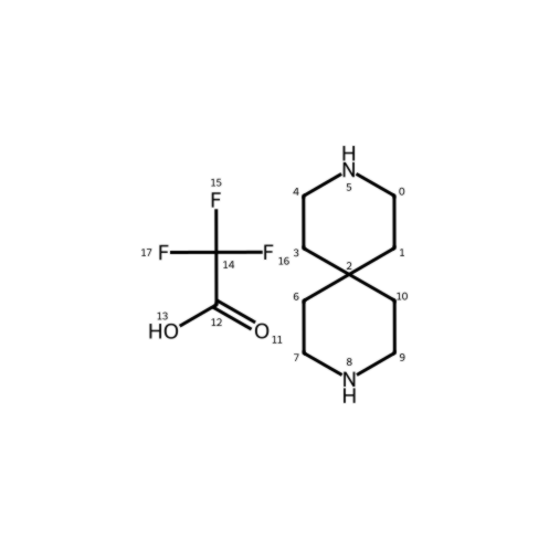 C1CC2(CCN1)CCNCC2.O=C(O)C(F)(F)F